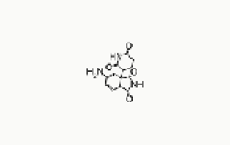 NC1=CC2(C3CCC(=O)NC3=O)C(=O)NC(=O)C2C=C1